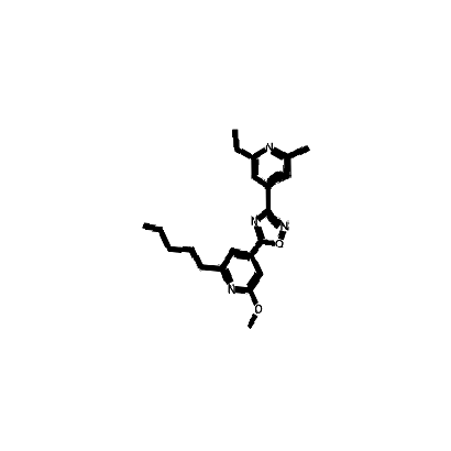 CCCCCc1cc(-c2nc(-c3cc(C)nc(CC)c3)no2)cc(OC)n1